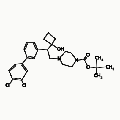 CC(C)(C)OC(=O)N1CCN(CC(c2cccc(-c3ccc(Cl)c(Cl)c3)c2)C2(O)CCC2)CC1